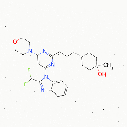 C[C@]1(O)CC[C@H](CCCc2nc(N3CCOCC3)cc(-n3c(C(F)F)nc4ccccc43)n2)CC1